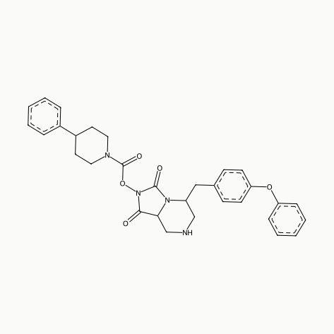 O=C(ON1C(=O)C2CNCC(Cc3ccc(Oc4ccccc4)cc3)N2C1=O)N1CCC(c2ccccc2)CC1